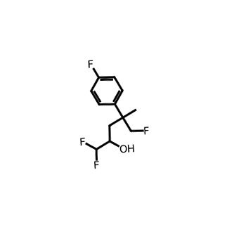 CC(CF)(CC(O)C(F)F)c1ccc(F)cc1